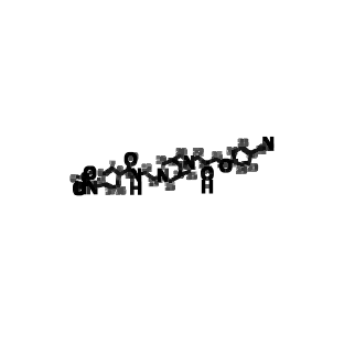 CS(=O)(=O)Nc1ccc(C(=O)NCCN2CC3CC(C2)CN(CC(O)COc2ccc(C#N)cc2)C3)cc1